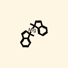 C[C]1([Mg][C]2(C)C=Cc3ccccc32)C=Cc2ccccc21